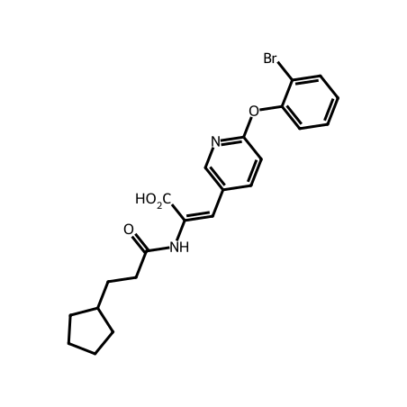 O=C(CCC1CCCC1)N/C(=C/c1ccc(Oc2ccccc2Br)nc1)C(=O)O